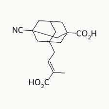 CC(=CCC12CC3CC(C#N)(C1)CC(C(=O)O)(C3)C2)C(=O)O